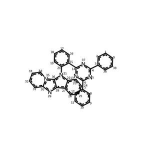 c1ccc(-c2nc(-c3ccccc3)nc(-c3ccccc3-n3c4ccccc4c4nc5ccccn5c43)n2)cc1